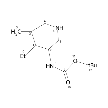 CCC1C(C)CNCC1NC(=O)OC(C)(C)C